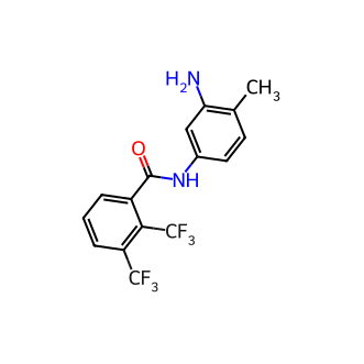 Cc1ccc(NC(=O)c2cccc(C(F)(F)F)c2C(F)(F)F)cc1N